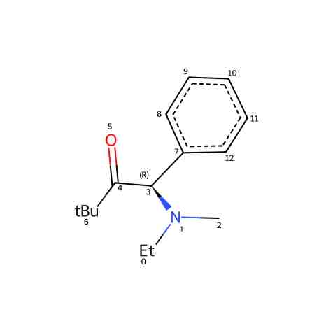 CCN(C)[C@@H](C(=O)C(C)(C)C)c1ccccc1